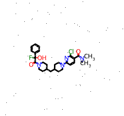 CN(C)C(=O)c1ccc(N2CCC(CC3CCN(C(=O)[C@](O)(F)c4ccccc4)CC3)CC2)nc1Cl